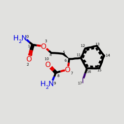 NC(=O)OCC[C@H](OC(N)=O)c1ccccc1I